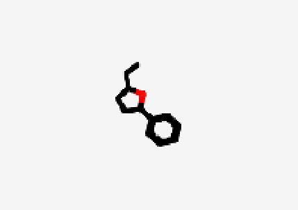 CCC1CCC(c2ccccc2)O1